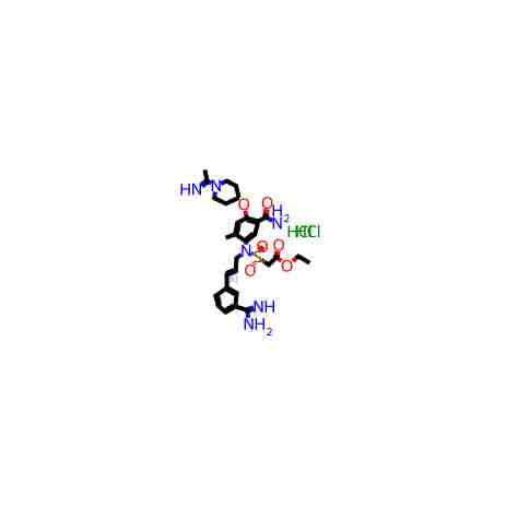 CCOC(=O)CS(=O)(=O)N(C/C=C/c1cccc(C(=N)N)c1)c1cc(C(N)=O)c(OC2CCN(C(C)=N)CC2)cc1C.Cl.Cl